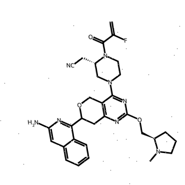 C=C(F)C(=O)N1CCN(c2nc(OC[C@H]3CCCN3C)nc3c2COC(c2nc(N)cc4ccccc24)C3)C[C@@H]1CC#N